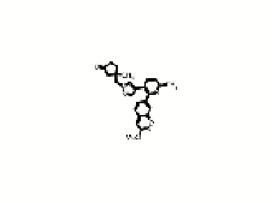 COc1cc2ccc(-c3nc(C)ccc3-c3cnn(CC4(C)CCC(=O)C4)c3)cc2nn1